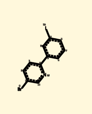 Brc1ccc(-c2cccc(I)c2)nc1